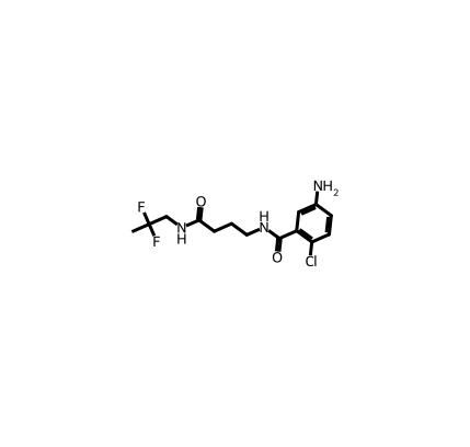 CC(F)(F)CNC(=O)CCCNC(=O)c1cc(N)ccc1Cl